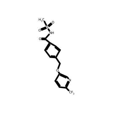 CS(=O)(=O)NC(=O)c1ccc(COc2ccc(C(F)(F)F)nc2)cc1